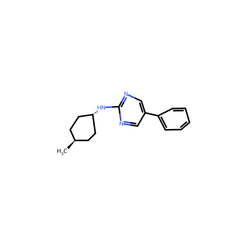 C[C@H]1CC[C@H](Nc2ncc(-c3ccccc3)cn2)CC1